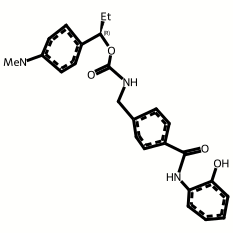 CC[C@@H](OC(=O)NCc1ccc(C(=O)Nc2ccccc2O)cc1)c1ccc(NC)cc1